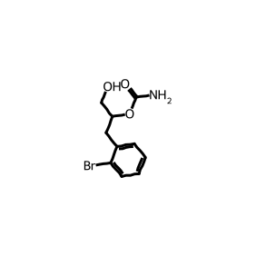 NC(=O)OC(CO)Cc1ccccc1Br